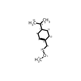 COSCC1=CCC(C(C)C)CC1